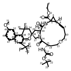 CCOC(=O)[C@@]12C[C@H]1C=CCCCCC[C@H](NC(=O)OC(C)(C)C)C(=O)N1C[C@]3(C[C@H]1C(=O)N2)CC(C)(F)c1c(c(C(F)(F)F)nc2ccc(OC)cc12)O3